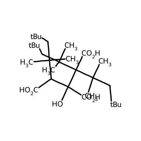 CC(C)(C)CC(C)(C)C(C(=O)O)C(O)(C(=O)O)C(C(=O)O)(C(C)(C)CC(C)(C)C)C(C)(C)CC(C)(C)C